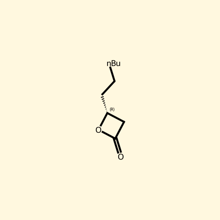 CCCCCC[C@@H]1CC(=O)O1